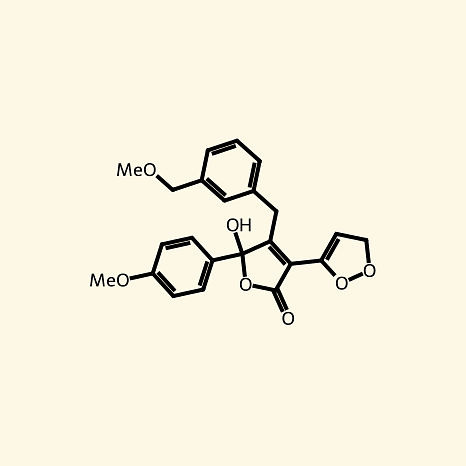 COCc1cccc(CC2=C(C3=CCOO3)C(=O)OC2(O)c2ccc(OC)cc2)c1